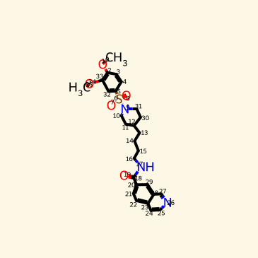 COc1ccc(S(=O)(=O)N2CCC(CCCCNC(=O)c3ccc4ccncc4c3)CC2)cc1OC